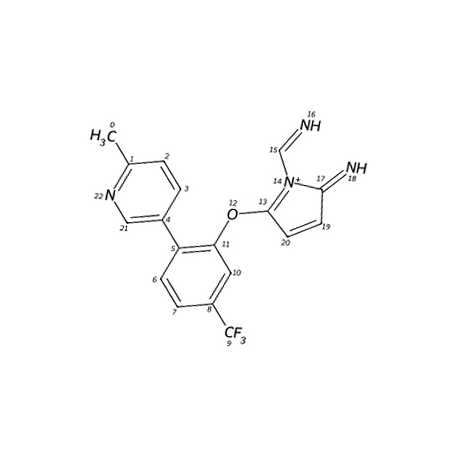 Cc1ccc(-c2ccc(C(F)(F)F)cc2OC2=[N+](C=N)C(=N)C=C2)cn1